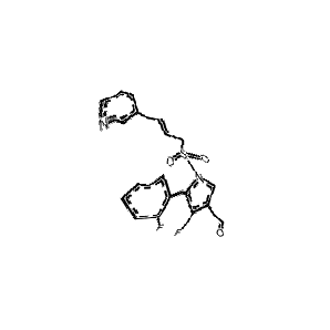 O=Cc1cn(S(=O)(=O)CC=Cc2cccnc2)c(-c2ccccc2F)c1F